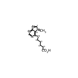 Cn1cnc2ncnc(SCCCCC(=O)O)c21